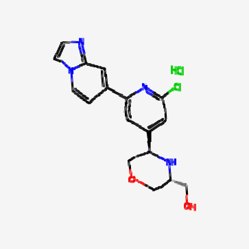 Cl.OC[C@@H]1COC[C@@H](c2cc(Cl)nc(-c3ccn4ccnc4c3)c2)N1